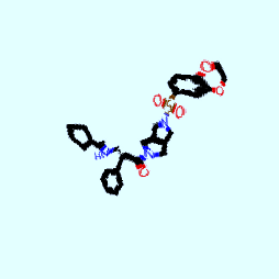 O=C([C@@H](CNCC1CCCC1)c1ccccc1)N1CC2=C(C1)CN(S(=O)(=O)c1ccc3c(c1)OCCO3)C2